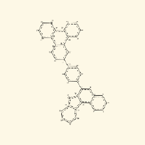 c1ccc2c(c1)cc(-c1ccc(-c3ccc4c(c3)c3ccccc3c3nccnc43)cc1)c1oc3ccccc3c12